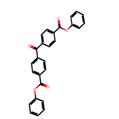 O=C(Oc1ccccc1)c1ccc(C(=O)c2ccc(C(=O)Oc3ccccc3)cc2)cc1